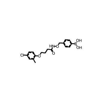 Cc1cc(Cl)ccc1OCCCC(=O)NOCc1ccc(B(O)O)cc1